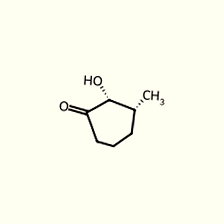 C[C@@H]1CCCC(=O)[C@@H]1O